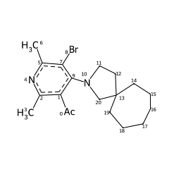 CC(=O)c1c(C)nc(C)c(Br)c1N1CCC2(CCCCCC2)C1